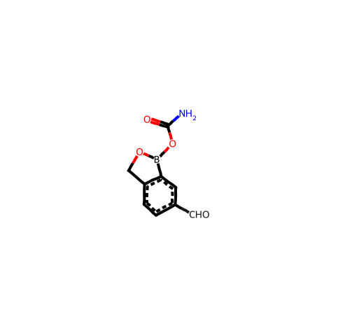 NC(=O)OB1OCc2ccc(C=O)cc21